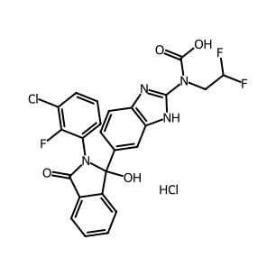 Cl.O=C(O)N(CC(F)F)c1nc2ccc(C3(O)c4ccccc4C(=O)N3c3cccc(Cl)c3F)cc2[nH]1